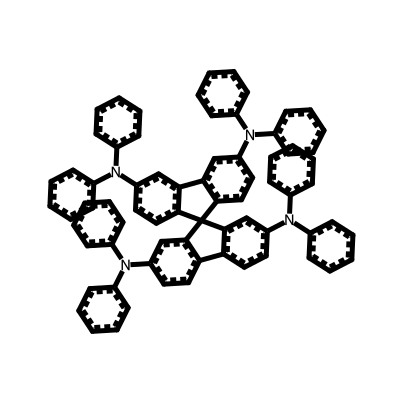 c1ccc(N(c2ccccc2)c2ccc3c(c2)-c2cc(N(c4ccccc4)c4ccccc4)ccc2C32c3cc(N(c4ccccc4)c4ccccc4)ccc3-c3ccc(N(c4ccccc4)c4ccccc4)cc32)cc1